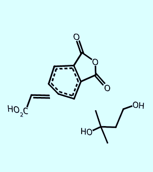 C=CC(=O)O.CC(C)(O)CCO.O=C1OC(=O)c2ccccc21